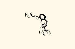 CNC(=O)c1cn(Cc2cccc(OCCN)c2C)cn1